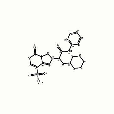 CS(=O)(=O)C1=CCC(=O)C2CN(C(CC3CCCCC3)C(=O)Nc3ccncn3)C=C12